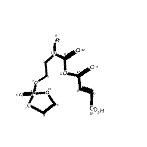 CC(C)N(CCOP1(=O)OCCO1)C(=O)OC(=O)C=CC(=O)O